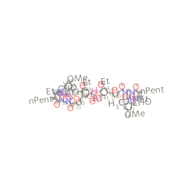 CCCCC[C@@H](C(=O)NCNC(=O)c1ccc(-c2cc(OCC)cc(O[PH](=O)Oc3cc(OCC)cc(-c4ccc(C(=O)NCNC(=O)[C@H](CCCCC)[C@@H](CC)N(C=O)OC(=O)c5ccc(OC)cc5C)o4)c3)c2)o1)[C@@H](CC)N(C=O)OC(=O)c1ccc(OC)cc1C